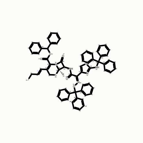 O=C(OC(c1ccccc1)c1ccccc1)C1=C(/C=C/CI)CS[C@@H]2C(NC(=O)/C(=N\OC(c3ccccc3)(c3ccccc3)c3ccccc3)c3csc(NC(c4ccccc4)(c4ccccc4)c4ccccc4)n3)C(=O)N12